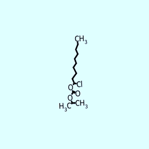 CCCCCCCCCC(Cl)OC(=O)OC(C)C